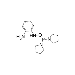 Nc1ccccc1NOP(N1CCCC1)N1CCCC1